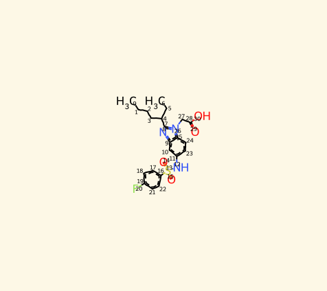 CCCCC(CC)c1nc2cc(NS(=O)(=O)c3ccc(F)cc3)ccc2n1CC(=O)O